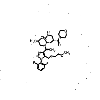 C=C(c1nnn(-c2c(F)cccc2F)c1CCCCOC)N(CC(C)C)[C@@H]1CNC[C@H](C(=O)N2CCOCC2)C1